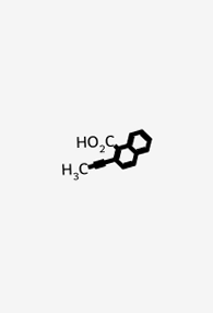 CC#Cc1ccc2ccccc2c1C(=O)O